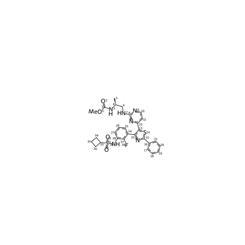 COC(=O)N[C@@H](C)CNc1nccc(-c2sc(-c3ccccc3)nc2-c2cccc(NS(=O)(=O)C3CCC3)c2F)n1